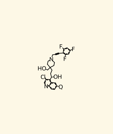 COc1ccc2ncc(Cl)c([C@H](O)CCC3(CO)CCN(CC#Cc4c(F)cc(F)cc4F)CC3)c2c1